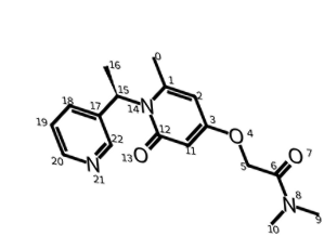 Cc1cc(OCC(=O)N(C)C)cc(=O)n1[C@H](C)c1cccnc1